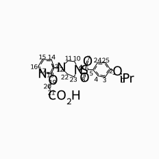 CC(C)Oc1ccc(S(=O)(=O)N2CCN(c3cccnc3OCC(=O)O)CC2)cc1